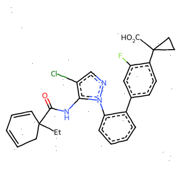 CCC1(C(=O)Nc2c(Cl)cnn2-c2ccccc2-c2ccc(C3(C(=O)O)CC3)c(F)c2)C=CC=CC1